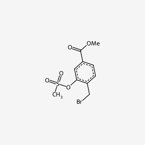 COC(=O)c1ccc(CBr)c(OS(C)(=O)=O)c1